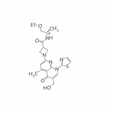 CCOC[C@@H](C)NC(=O)C1CN(c2cc(C)c3c(=O)c(CO)cn(-c4nccs4)c3n2)C1